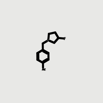 CC(=O)c1ccc(CN2CCC(F)C2)cc1